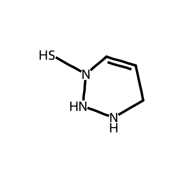 SN1C=CCNN1